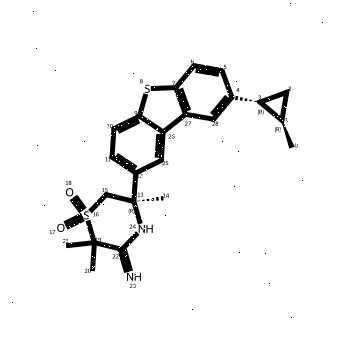 C[C@@H]1C[C@H]1c1ccc2sc3ccc([C@]4(C)CS(=O)(=O)C(C)(C)C(=N)N4)cc3c2c1